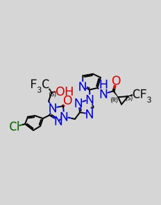 O=C(Nc1cccnc1-n1cnc(Cn2nc(-c3ccc(Cl)cc3)n(C[C@H](O)C(F)(F)F)c2=O)n1)[C@@H]1C[C@@H]1C(F)(F)F